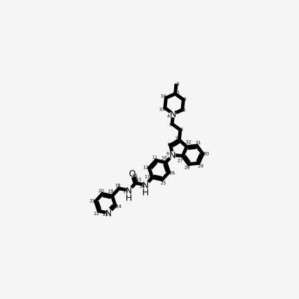 CC1CCN(CCc2cn(-c3ccc(NC(=O)NCc4cccnc4)cc3)c3ccccc23)CC1